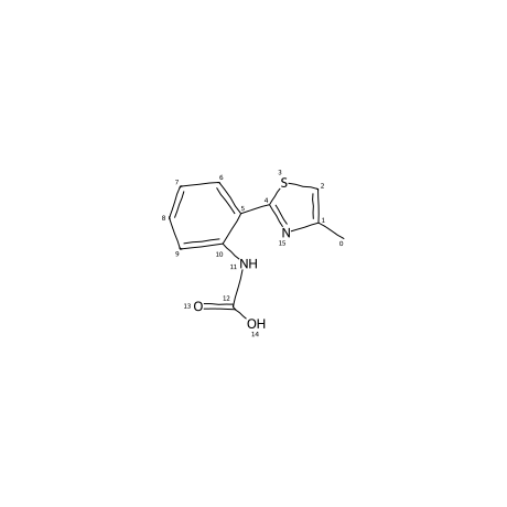 Cc1csc(-c2ccccc2NC(=O)O)n1